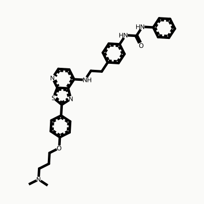 CN(C)CCCOc1ccc(-c2nc3c(NCCc4ccc(NC(=O)Nc5ccccc5)cc4)ccnc3s2)cc1